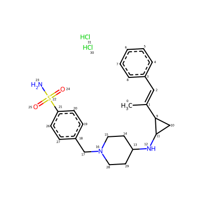 C/C(=C\c1ccccc1)C1CC1NC1CCN(Cc2ccc(S(N)(=O)=O)cc2)CC1.Cl.Cl